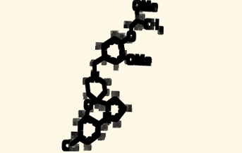 COc1cc(CN2CCC3(CC2)Oc2cc(Cl)ccc2-n2cccc23)ccc1OC[C@H](C)OC